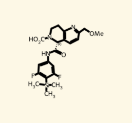 COCc1ccc2c(n1)CCN(C(=O)O)[C@H]2C(=O)Nc1cc(F)c([Si](C)(C)C)c(F)c1